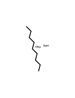 C[CH]CCCCCCC.[NaH].[NaH]